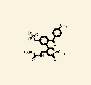 CCS(=O)(=O)Cc1ccc(C(=O)c2ccc(C)cc2)c(-c2cn(C)c(=O)cc2CNC(=O)OC(C)(C)C)c1